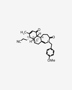 COc1ccc(CN2C=C3CC[C@H]4[C@H](CCC#N)C(C)=CC(=O)[C@@H]4[C@@]3(C)CCC2=O)cc1